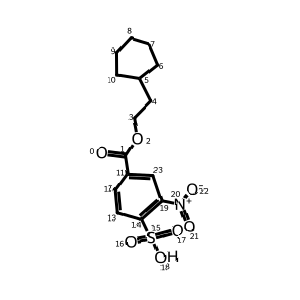 O=C(OCCC1CCCCC1)c1ccc(S(=O)(=O)O)c([N+](=O)[O-])c1